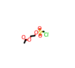 CC(=O)OCCOS(=O)(=O)CCl